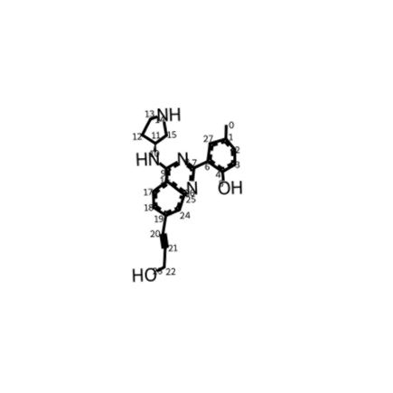 Cc1ccc(O)c(-c2nc(N[C@H]3CCNC3)c3ccc(C#CCO)cc3n2)c1